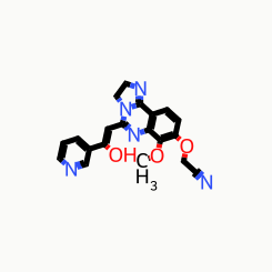 COc1c(OCC#N)ccc2c1N=C(C=C(O)c1cccnc1)N1CCN=C21